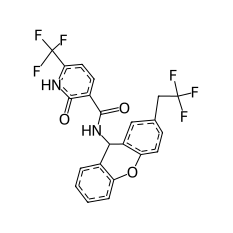 O=C(NC1c2ccccc2Oc2ccc(CC(F)(F)F)cc21)c1ccc(C(F)(F)F)[nH]c1=O